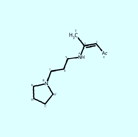 CC(=O)/C=C(/C)NCCCN1CCCC1